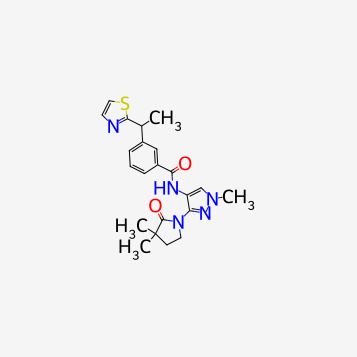 CC(c1cccc(C(=O)Nc2cn(C)nc2N2CCC(C)(C)C2=O)c1)c1nccs1